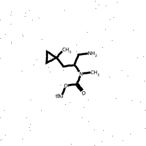 CN(C(=O)OC(C)(C)C)C(CN)CC1(C)CC1